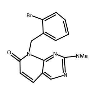 CNc1ncc2ccc(=O)n(Cc3ccccc3Br)c2n1